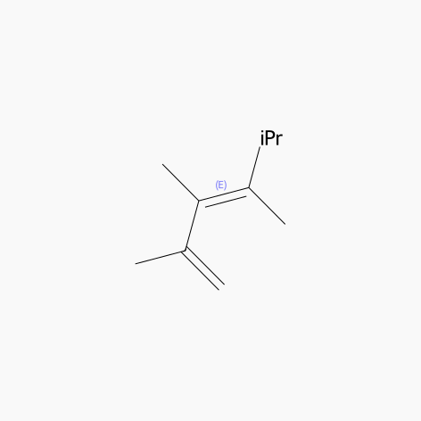 C=C(C)/C(C)=C(\C)C(C)C